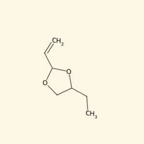 C=CC1OCC(CC)O1